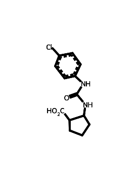 O=C(Nc1ccc(Cl)cc1)NC1CCCC1C(=O)O